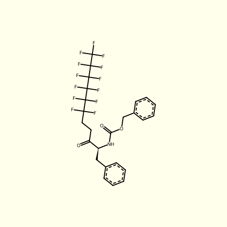 O=C(N[C@@H](Cc1ccccc1)C(=O)CCC(F)(F)C(F)(F)C(F)(F)C(F)(F)C(F)(F)C(F)(F)F)OCc1ccccc1